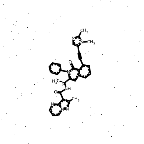 Cc1nn2cccnc2c1C(=O)N[C@@H](C)c1cc2cccc(C#Cc3cnc(C)n3C)c2c(=O)n1-c1ccccc1